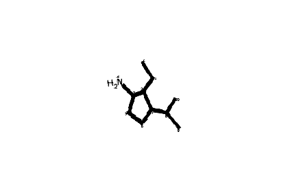 CCC1C(N)CCC1C(C)C